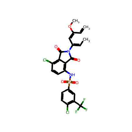 C=C/C(=C\C(=C/C)N1C(=O)c2c(Cl)ccc(NS(=O)(=O)c3ccc(Cl)c(C(F)(F)F)c3)c2C1=O)OC